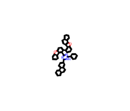 c1ccc(C2=NC(c3c(-c4cccc5oc6c7ccccc7ccc6c45)ccc4oc5ccccc5c34)=NC(c3ccc4c(ccc5ccccc54)c3)N2)cc1